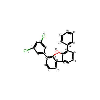 Clc1cc(Cl)cc(-c2cccc3c2oc2c(-c4ccccc4)cccc23)c1